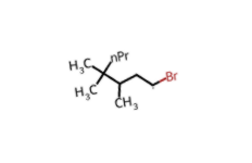 CCCC(C)(C)C(C)C[CH]Br